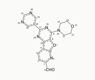 O=Cc1ccc2c(n1)oc1c(N3CCOCC3)nc(-c3cncnc3)nc12